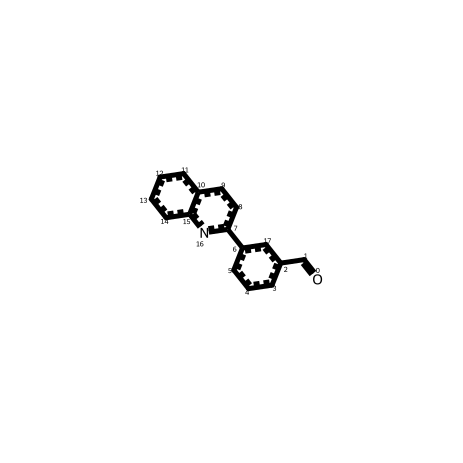 O=Cc1cccc(-c2ccc3ccccc3n2)c1